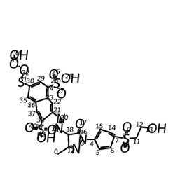 CC1=NN(c2ccc(S(=O)(=O)CCO)cc2)C(=O)C1N=Nc1cc2c(S(=O)(=O)O)cc(SOOO)cc2cc1S(=O)(=O)O